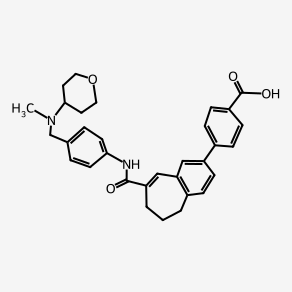 CN(Cc1ccc(NC(=O)C2=Cc3cc(-c4ccc(C(=O)O)cc4)ccc3CCC2)cc1)C1CCOCC1